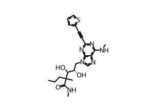 CCCC(C)(C(=O)NC)[C@@H](O)[C@@H](O)Cn1cnc2c(NC)nc(C#Cc3cccs3)nc21